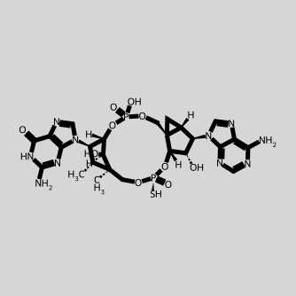 C[C@@H]1[C@@H](n2cnc3c(=O)[nH]c(N)nc32)[C@@H]2OP(=O)(O)OC[C@@]34C[C@@H]3[C@@H](n3cnc5c(N)ncnc53)[C@H](O)[C@@H]4O[P@](=O)(S)OC[C@]1(C)[C@H]2O